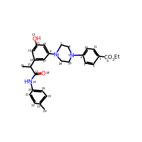 CCOC(=O)c1ccc(N2CCN(c3cc(O)cc(C(C)C(=O)Nc4ccc(C)cc4)c3)CC2)cc1